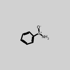 N[S+]([O-])c1ccccc1